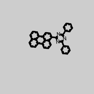 c1ccc(-c2nc(-c3ccccc3)nc(-c3ccc4c5cccc6cccc(c7cccc3c74)c65)n2)cc1